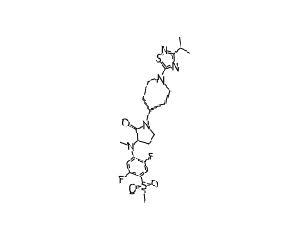 CC(C)c1nsc(N2CCC(N3CCC(N(C)c4cc(F)c(S(C)(=O)=O)cc4F)C3=O)CC2)n1